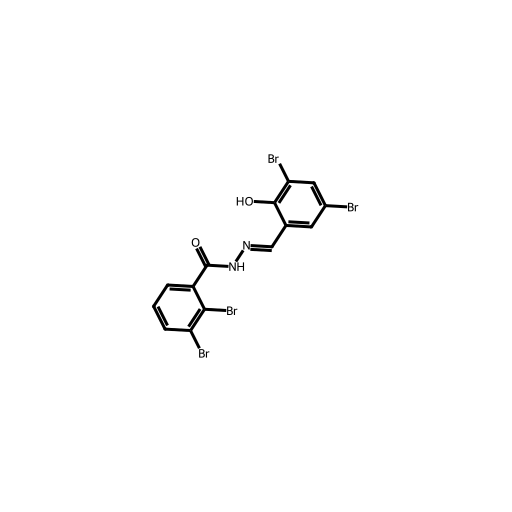 O=C(NN=Cc1cc(Br)cc(Br)c1O)c1cccc(Br)c1Br